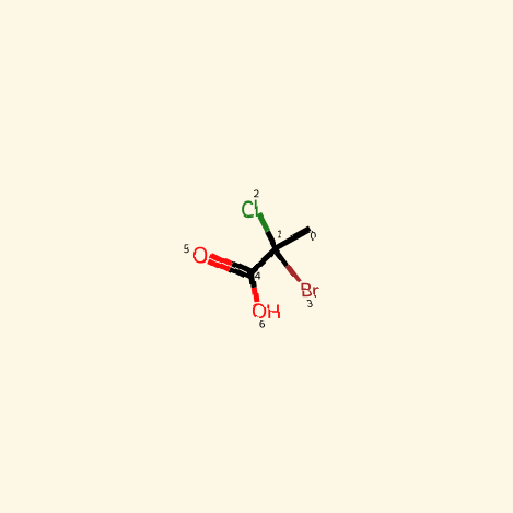 CC(Cl)(Br)C(=O)O